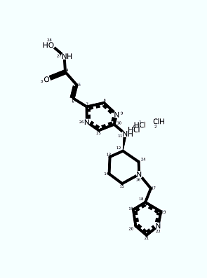 Cl.Cl.Cl.O=C(C=Cc1cnc(N[C@@H]2CCCN(Cc3cccnc3)C2)cn1)NO